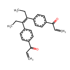 C=CC(=O)c1ccc(C(CC)=C(CC)c2ccc(C(=O)C=C)cc2)cc1